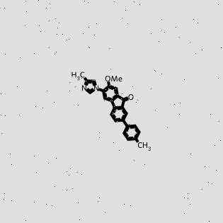 COc1cc2c(cc1-n1cnc(C)c1)-c1ccc(-c3ccc(C)cc3)cc1C2=O